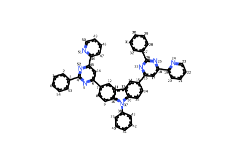 c1ccc(-c2nc(-c3ccc4c(c3)c3cc(-c5cc(-c6ccccn6)nc(-c6ccccc6)n5)ccc3n4-c3ccccc3)cc(-c3ccccn3)n2)cc1